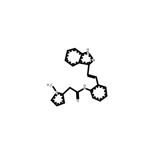 Cn1cccc1CC(=O)Nc1ccccc1/C=C/c1n[nH]c2ccccc12